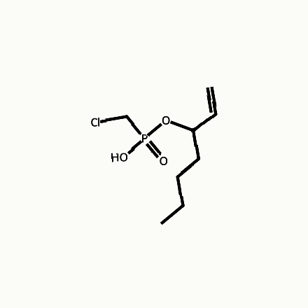 C=CC(CCCC)OP(=O)(O)CCl